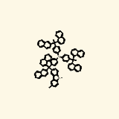 Cc1ccc2[nH]c3ccc(C(c4ccc(N(c5ccc(C(C)(c6ccc7ccccc7c6)c6cccc7ccccc67)cc5)c5ccc(C(C)(c6cccc7ccccc67)c6cccc7ccccc67)cc5)cc4)(c4ccc5ccccc5c4)c4cccc5ccccc45)cc3c2c1